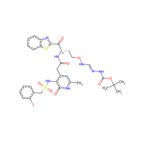 Cc1cc(CC(=O)N[C@@H](CCONC=NNC(=O)OC(C)(C)C)C(=O)c2nc3ccccc3s2)c(NS(=O)(=O)Cc2ccccc2I)c(=O)[nH]1